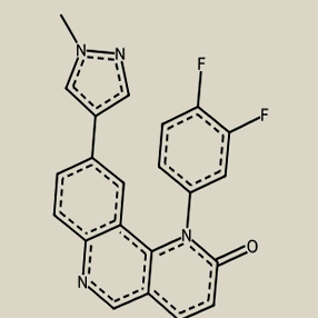 Cn1cc(-c2ccc3ncc4ccc(=O)n(-c5ccc(F)c(F)c5)c4c3c2)cn1